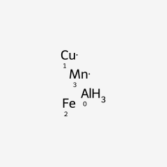 [AlH3].[Cu].[Fe].[Mn]